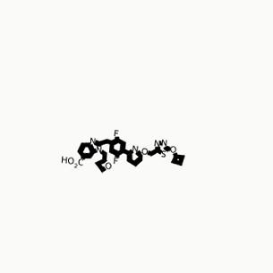 O=C(O)c1ccc2nc(Cc3cc(F)c(-c4cccc(OCc5nnc(OC6CCC6)s5)n4)cc3F)n(CC3CCO3)c2c1